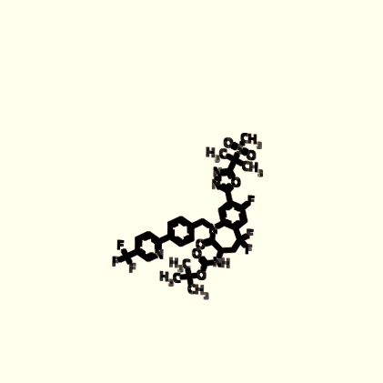 CC(C)(C)OC(=O)NC1CC(F)(F)c2cc(F)c(-c3nnc(C(C)(C)S(C)(=O)=O)o3)cc2N(Cc2ccc(-c3ccc(C(F)(F)F)cn3)cc2)C1=O